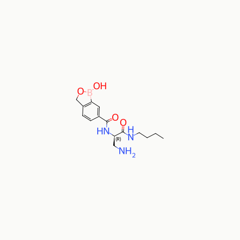 CCCCNC(=O)[C@@H](CN)NC(=O)c1ccc2c(c1)B(O)OC2